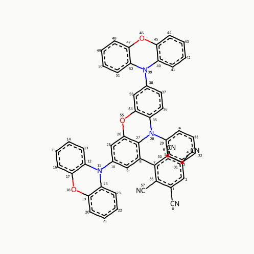 N#Cc1cc(C#N)c(C#N)c(-c2cc(N3c4ccccc4Oc4ccccc43)cc3c2N(c2ccccc2)c2ccc(N4c5ccccc5Oc5ccccc54)cc2O3)c1C#N